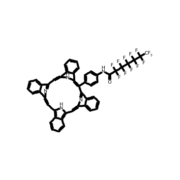 O=C(Nc1ccc(-c2c3nc(cc4[nH]c(cc5nc(cc6[nH]c2c2ccccc62)-c2ccccc2-5)c2ccccc42)-c2ccccc2-3)cc1)C(F)(F)C(F)(F)C(F)(F)C(F)(F)C(F)(F)C(F)(F)F